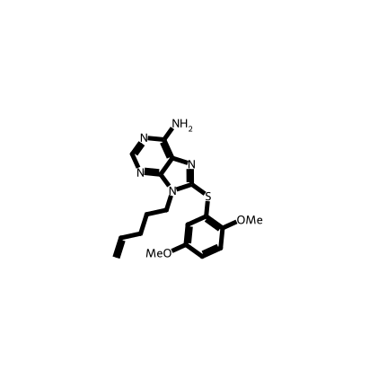 C=CCCCn1c(Sc2cc(OC)ccc2OC)nc2c(N)ncnc21